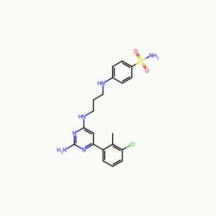 Cc1c(Cl)cccc1-c1cc(NCCCNc2ccc(S(N)(=O)=O)cc2)nc(N)n1